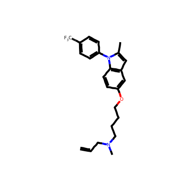 C=CCN(C)CCCCOc1ccc2c(c1)cc(C)n2-c1ccc(C(F)(F)F)cc1